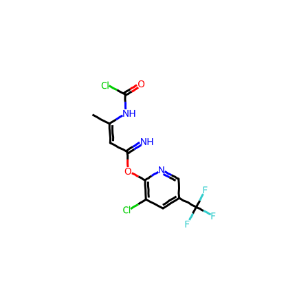 C/C(=C/C(=N)Oc1ncc(C(F)(F)F)cc1Cl)NC(=O)Cl